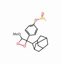 COC1OOC1(c1ccc(O[PH2]=O)cc1)C1C2CC3CC(C2)CC1C3